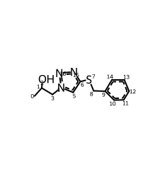 CC(O)Cn1cc(SCc2ccccc2)nn1